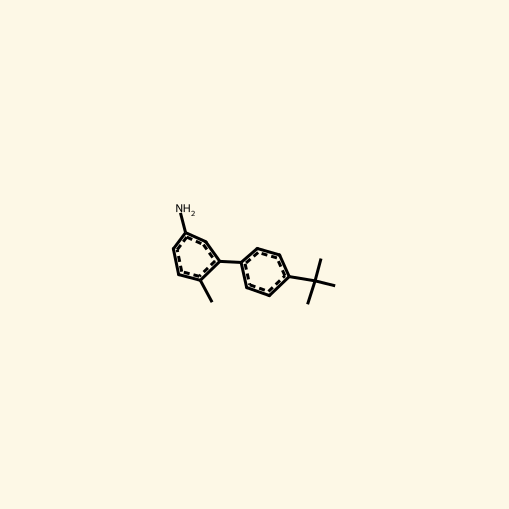 Cc1ccc(N)cc1-c1ccc(C(C)(C)C)cc1